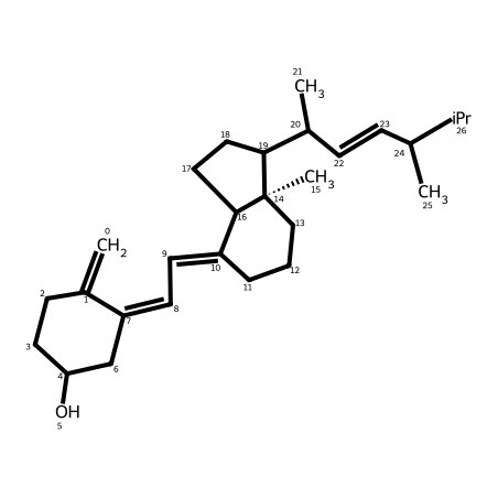 C=C1CCC(O)C/C1=C/C=C1\CCC[C@@]2(C)C1CCC2C(C)/C=C/C(C)C(C)C